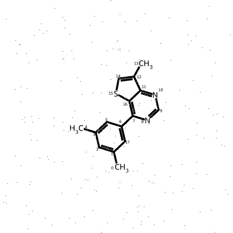 Cc1cc(C)cc(-c2ncnc3c(C)csc23)c1